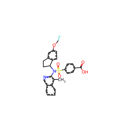 Cc1c(N(C2CCc3cc(OCF)ccc32)S(=O)(=O)c2ccc(C(=O)O)cc2)ncc2ccccc12